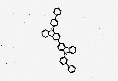 C1=CC2=C(CC1)C1C=C(c3ccc4c(c3)c3ccccc3n4-c3cccc(-c4ccccc4)c3)C=CC1N2C1=CC=C(c2ccccc2)CC1